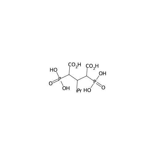 CC(C)C(C(C(=O)O)P(=O)(O)O)C(C(=O)O)P(=O)(O)O